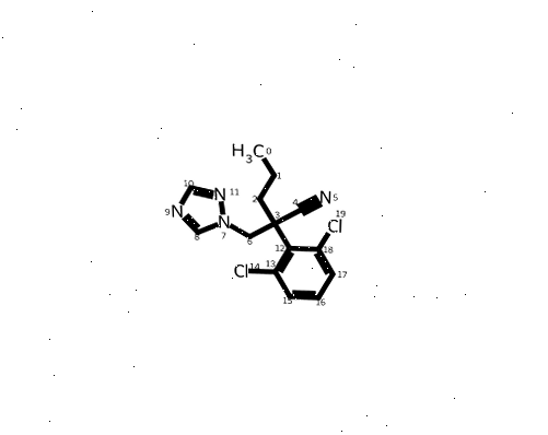 CCCC(C#N)(Cn1cncn1)c1c(Cl)cccc1Cl